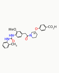 COc1cc(CC(=O)N2CCC[C@@H](Oc3ccc(C(=O)O)cc3)C2)ccc1NC(=O)Nc1ccccc1C